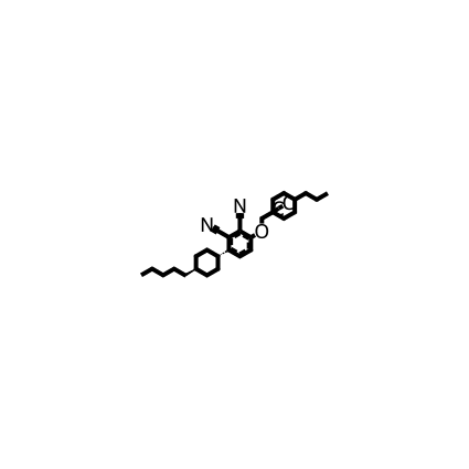 CCCCC[C@H]1CC[C@H](c2ccc(OCC34CCC(CCC)(CC3)CC4)c(C#N)c2C#N)CC1